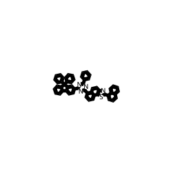 c1ccc(-c2nc(-c3ccc4c(c3)C(c3ccccc3)(c3ccccc3)c3ccccc3-4)nc(-c3cccc4c3ccc3nc(-c5cccc6ccccc56)sc34)n2)cc1